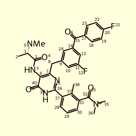 CN[C@@H](C)C(=O)Nc1c(Cc2cc(F)cc(C(=O)c3ccc(F)cc3)c2)nc(-c2cccc(C(=O)N(C)C)c2C)[nH]c1=O